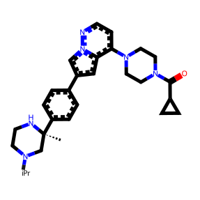 CC(C)N1CCN[C@@](C)(c2ccc(-c3cc4c(N5CCN(C(=O)C6CC6)CC5)ccnn4c3)cc2)C1